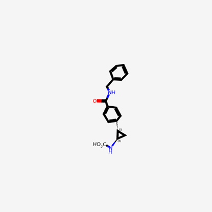 O=C(O)N[C@@H]1C[C@H]1c1ccc(C(=O)NCc2ccccc2)cc1